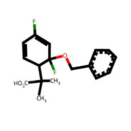 CC(C)(C(=O)O)C1C=CC(F)=CC1(F)OCc1ccccc1